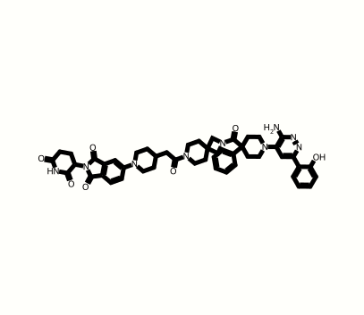 Nc1nnc(-c2ccccc2O)cc1N1CCC(C(=O)N2CC3(CCN(C(=O)CC4CCN(c5ccc6c(c5)C(=O)N(C5CCC(=O)NC5=O)C6=O)CC4)CC3)C2)(c2ccccc2)CC1